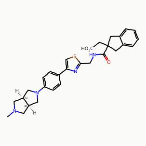 CN1C[C@@H]2CN(c3ccc(-c4csc(CNC(=O)C5(CC(=O)O)Cc6ccccc6C5)n4)cc3)C[C@@H]2C1